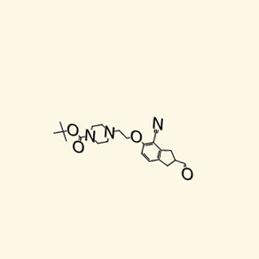 CC(C)(C)OC(=O)N1CCN(CCOc2ccc3c(c2C#N)CC(C=O)C3)CC1